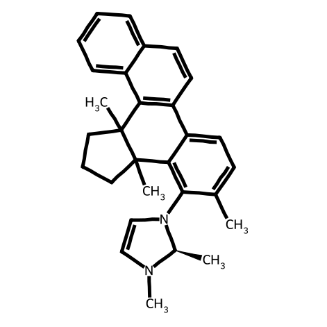 Cc1ccc2c(c1N1C=CN(C)[C@@H]1C)C1(C)CCCC1(C)c1c-2ccc2ccccc12